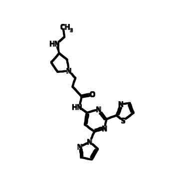 CCN[C@@H]1CCN(CCC(=O)Nc2cc(-n3cccn3)nc(-c3nccs3)n2)C1